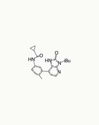 CCC(C)n1c(=O)[nH]c2c(-c3cc(NC(=O)C4CC4)ccc3C)ccnc21